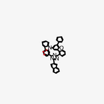 c1ccc(-c2nc(-c3ccc4ccccc4c3)nc(-c3cccc4oc5c(-c6ccccc6)cc(-n6c7ccccc7c7ccccc76)cc5c34)n2)cc1